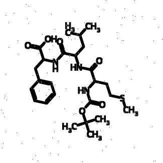 CSCCC(NC(=O)OC(C)(C)C)C(=O)NC(CC(C)C)C(=O)NC(Cc1ccccc1)C(=O)O